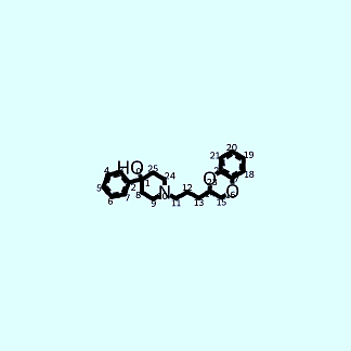 OC1(c2ccccc2)CCN(CCCC2COc3ccccc3O2)CC1